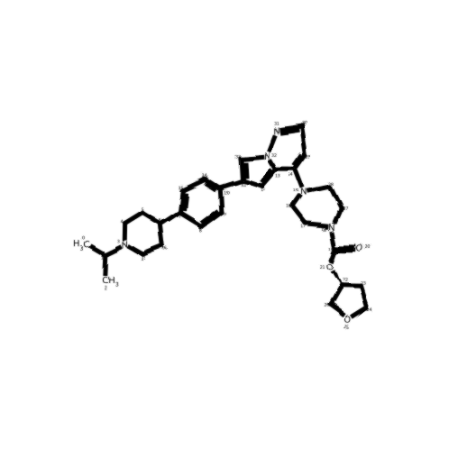 CC(C)N1CCC(c2ccc(-c3cc4c(N5CCN(C(=O)O[C@H]6CCOC6)CC5)ccnn4c3)cc2)CC1